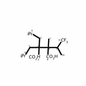 CC(C)CC(CC(C)C)(C(=O)O)C(C)(C(=O)O)C(C)C(F)(F)F